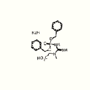 CN(CC(=O)O)C(=N)NP(=O)(OCc1ccccc1)OCc1ccccc1.[NaH]